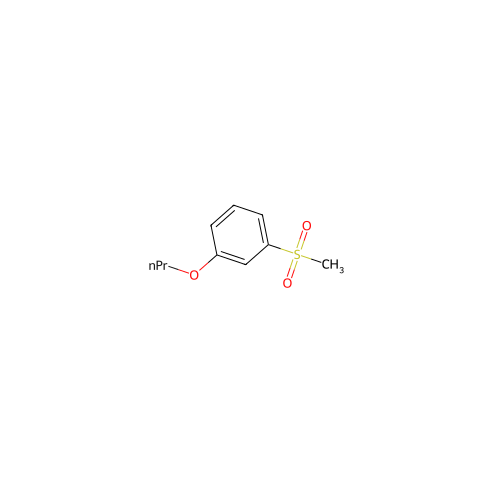 CCCOc1cccc(S(C)(=O)=O)c1